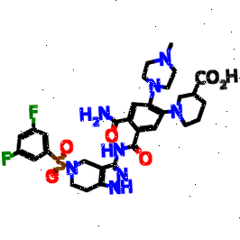 CN1CCN(c2cc(C(N)=O)c(C(=O)Nc3n[nH]c4c3CN(S(=O)(=O)c3cc(F)cc(F)c3)CC4)cc2N2CCCC(C(=O)O)C2)CC1